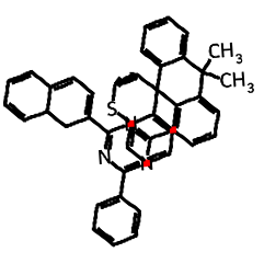 CC1(C)c2ccccc2C2(c3ccccc3Sc3ccccc32)c2c(-c3nc(C4=CC=C5C=CC=CC5C4)nc(-c4ccccc4)n3)cccc21